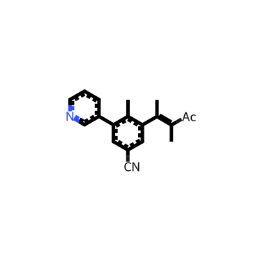 CC(=O)/C(C)=C(\C)c1cc(C#N)cc(-c2cccnc2)c1C